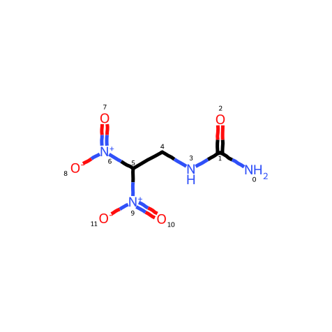 NC(=O)NCC([N+](=O)[O-])[N+](=O)[O-]